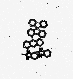 Cc1nc2ccccc2n1-c1cccc2c(-c3cccc4c3-c3ccccc3C43c4ccccc4-c4ccccc43)c3cccc(-n4c(C)nc5ccccc54)c3cc12